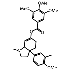 COc1ccc(C23CCC(OC(=O)c4cc(OC)c(OC)c(OC)c4)=CC2N(C)CC3)cc1C